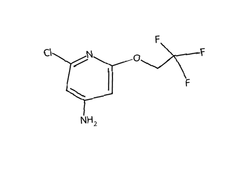 Nc1cc(Cl)nc(OCC(F)(F)F)c1